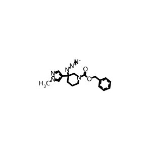 Cn1cc(C2(N=[N+]=[N-])CCCN(C(=O)OCc3ccccc3)C2)cn1